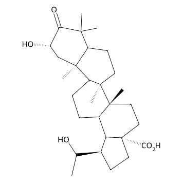 CC(O)[C@@H]1CC[C@]2(C(=O)O)CC[C@]3(C)C(CCC4[C@@]5(C)C[C@H](O)C(=O)C(C)(C)C5CC[C@]43C)C12